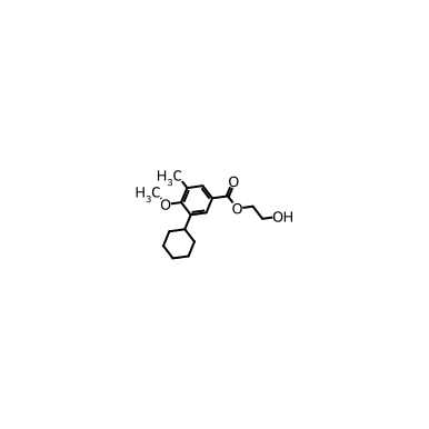 COc1c(C)cc(C(=O)OCCO)cc1C1CCCCC1